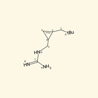 CC(C)(C)CC1=CC1CNC(=N)N